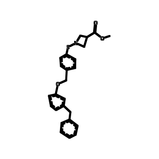 COC(=O)C1CN(Sc2ccc(COc3cccc(Cc4ccccc4)c3)cc2)C1